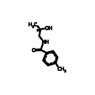 Cc1ccc(C(=O)NC[C@@H](C)O)cc1